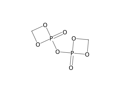 O=P1(OP2(=O)OCO2)OCO1